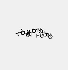 Cc1cc(-c2nc(-c3ccc(CN4CCC(CCCN5CCCCC5)(C(=O)O)CC4)cc3)no2)ccc1CC(C)C